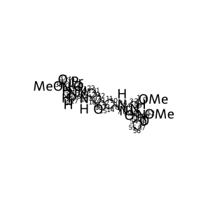 COC[C@H]1C[C@@H](c2ncc(-c3ccc4c(c3)COc3cc5c(ccc6nc([C@@H]7C[C@H]8C[C@H]8N7C(=O)[C@@H](NC(=O)OC)C(C)C)[nH]c65)cc3-4)[nH]2)N(C(=O)[C@H](NC(=O)OC)c2ccccc2)C1